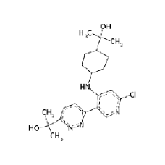 CC(C)(O)c1ccc(-c2cnc(Cl)cc2NC2CCC(C(C)(C)O)CC2)nn1